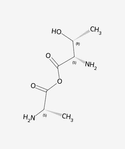 C[C@H](N)C(=O)OC(=O)[C@@H](N)[C@@H](C)O